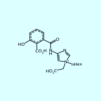 CCCCCC[N+]1(CC(=O)O)C=NC(NC(=O)c2cccc(O)c2C(=O)O)=C1